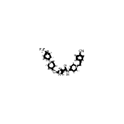 N#Cc1ccc(CN2CCC(NC(=O)c3cnc(OC4CCN(c5ccc(C(F)(F)F)cc5)CC4)s3)CC2)cc1